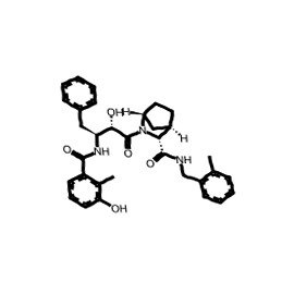 Cc1ccccc1CNC(=O)[C@H]1[C@@H]2CC[C@H](C2)N1C(=O)[C@@H](O)[C@H](Cc1ccccc1)NC(=O)c1cccc(O)c1C